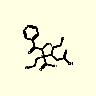 NN(C(=O)c1ccccc1)[C@@](CCCl)(C(=O)O)C(CCCl)CC(=O)O